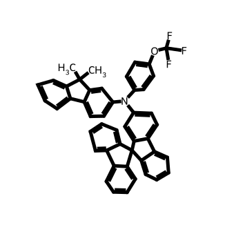 CC1(C)c2ccccc2-c2ccc(N(c3ccc(OC(F)(F)F)cc3)c3ccc4c(c3)C3(c5ccccc5-c5ccccc53)c3ccccc3-4)cc21